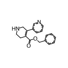 O=C(OCc1ccccc1)C1=C(c2cccnc2)CNCC1